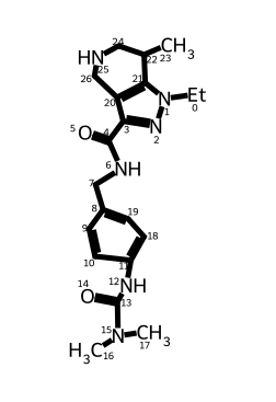 CCn1nc(C(=O)NCc2ccc(NC(=O)N(C)C)cc2)c2c1C(C)CNC2